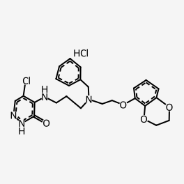 Cl.O=c1[nH]ncc(Cl)c1NCCCN(CCOc1cccc2c1OCCO2)Cc1ccccc1